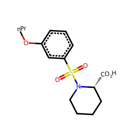 CCCOc1cccc(S(=O)(=O)N2CCCC[C@H]2C(=O)O)c1